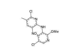 COc1ncc(Cl)cc1Nc1nc(Cl)c(C)cc1[N+](=O)[O-]